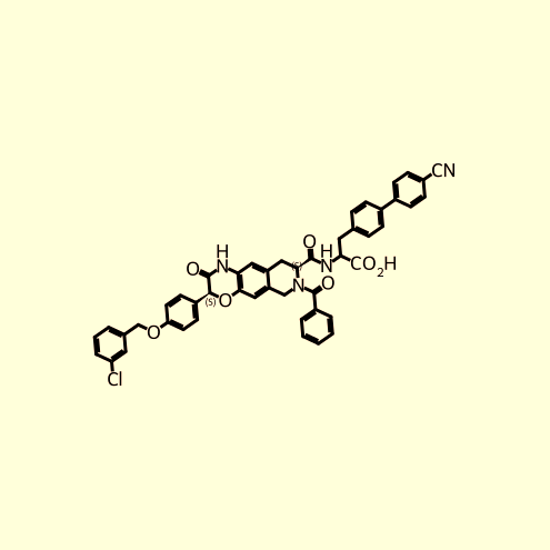 N#Cc1ccc(-c2ccc(CC(NC(=O)[C@@H]3Cc4cc5c(cc4CN3C(=O)c3ccccc3)O[C@@H](c3ccc(OCc4cccc(Cl)c4)cc3)C(=O)N5)C(=O)O)cc2)cc1